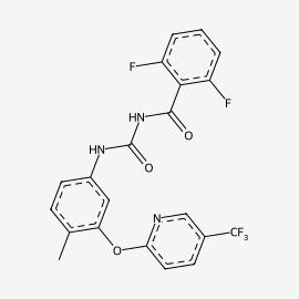 Cc1ccc(NC(=O)NC(=O)c2c(F)cccc2F)cc1Oc1ccc(C(F)(F)F)cn1